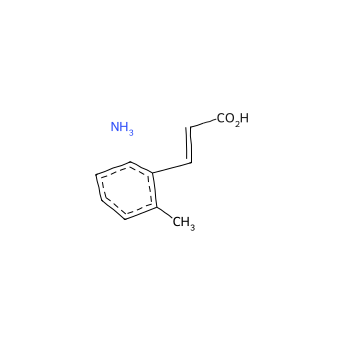 Cc1ccccc1C=CC(=O)O.N